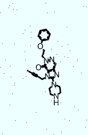 CC#CCn1c(N2CCNCC2)nc2cnn(CCOc3ccccc3)c(=O)c21